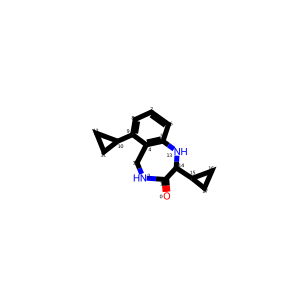 O=C1NCc2c(cccc2C2CC2)NC1C1CC1